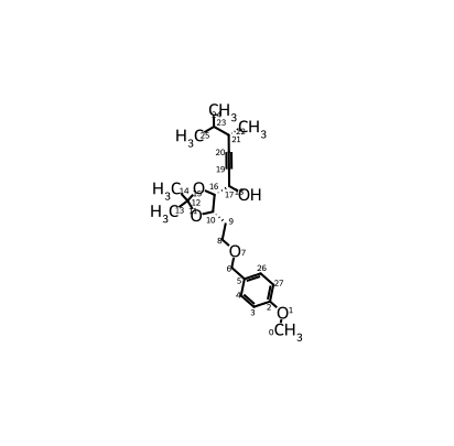 COc1ccc(COCC[C@@H]2OC(C)(C)O[C@@H]2C(O)C#C[C@@H](C)C(C)C)cc1